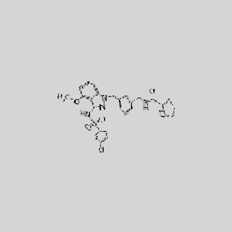 COc1cccc2c1c(NS(=O)(=O)c1ccc(Cl)s1)nn2Cc1cccc(CNC(=O)C2CCCO2)c1